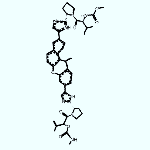 CNC(=O)O[C@H](C(=O)N1CCC[C@H]1c1ncc(-c2ccc3c(c2)Oc2ccc4cc(-c5cnc([C@@H]6CCCN6C(=O)[C@@H](NC(=O)OC)C(C)C)[nH]5)ccc4c2C3C)[nH]1)C(C)C